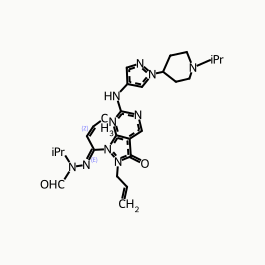 C=CCn1c(=O)c2cnc(Nc3cnn(C4CCN(C(C)C)CC4)c3)nc2n1C(/C=C\C)=N/N(C=O)C(C)C